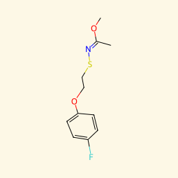 CO/C(C)=N/SCCOc1ccc(F)cc1